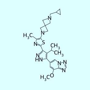 COc1cc(-c2[nH]nc(-c3nc(C)c(N4CC5(CN(CC6CC6)C5)C4)s3)c2C(C)C)cn2ncnc12